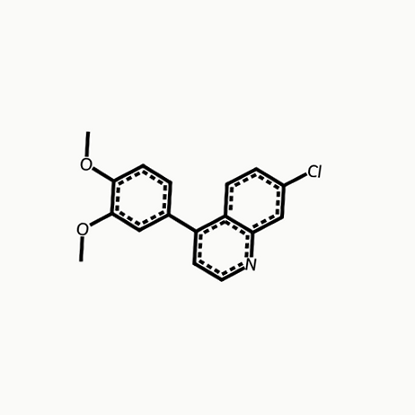 COc1ccc(-c2ccnc3cc(Cl)ccc23)cc1OC